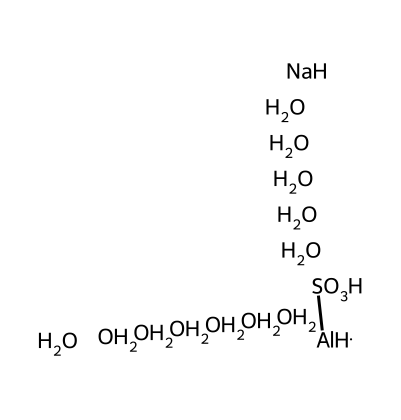 O.O.O.O.O.O.O.O.O.O.O.O.O=[S](=O)(O)[AlH].[NaH]